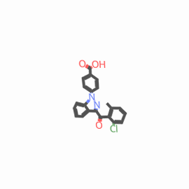 Cc1cccc(Cl)c1C(=O)c1nn(-c2ccc(C(=O)O)cc2)c2ccccc12